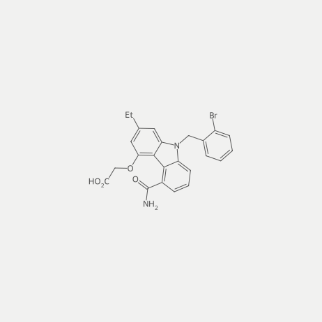 CCc1cc(OCC(=O)O)c2c3c(C(N)=O)cccc3n(Cc3ccccc3Br)c2c1